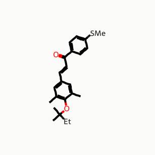 CCC(C)(C)Oc1c(C)cc(/C=C/C(=O)c2ccc(SC)cc2)cc1C